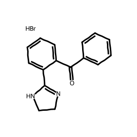 Br.O=C(c1ccccc1)c1ccccc1C1=NCCN1